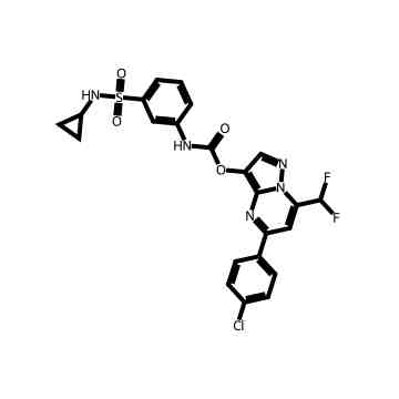 O=C(Nc1cccc(S(=O)(=O)NC2CC2)c1)Oc1cnn2c(C(F)F)cc(-c3ccc(Cl)cc3)nc12